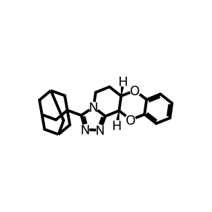 c1ccc2c(c1)O[C@H]1CCn3c(nnc3C34CC5CC(CC(C5)C3)C4)[C@H]1O2